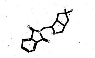 O=C1c2ccccc2C(=O)N1CC1NCC2CC(F)(F)CC21